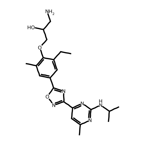 CCc1cc(-c2nc(-c3cc(C)nc(NC(C)C)n3)no2)cc(C)c1OCC(O)CN